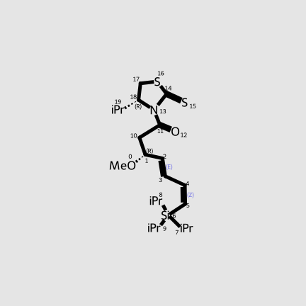 CO[C@@H](/C=C/C=C\[Si](C(C)C)(C(C)C)C(C)C)CC(=O)N1C(=S)SC[C@H]1C(C)C